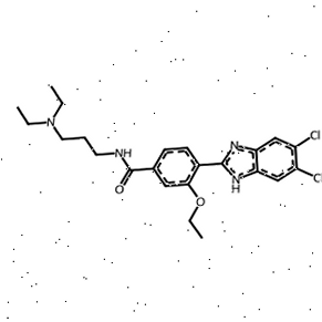 CCOc1cc(C(=O)NCCCN(CC)CC)ccc1-c1nc2cc(Cl)c(Cl)cc2[nH]1